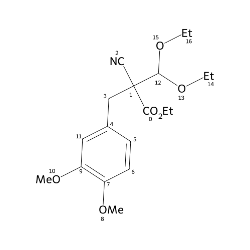 CCOC(=O)C(C#N)(Cc1ccc(OC)c(OC)c1)C(OCC)OCC